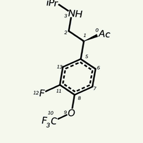 CC(=O)[C@H](CNC(C)C)c1ccc(OC(F)(F)F)c(F)c1